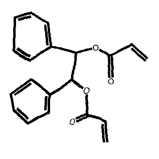 C=CC(=O)OC(c1ccccc1)C(OC(=O)C=C)c1ccccc1